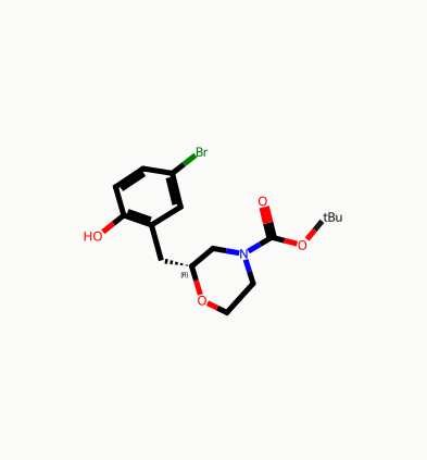 CC(C)(C)OC(=O)N1CCO[C@H](Cc2cc(Br)ccc2O)C1